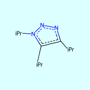 CC(C)c1nnn(C(C)C)c1C(C)C